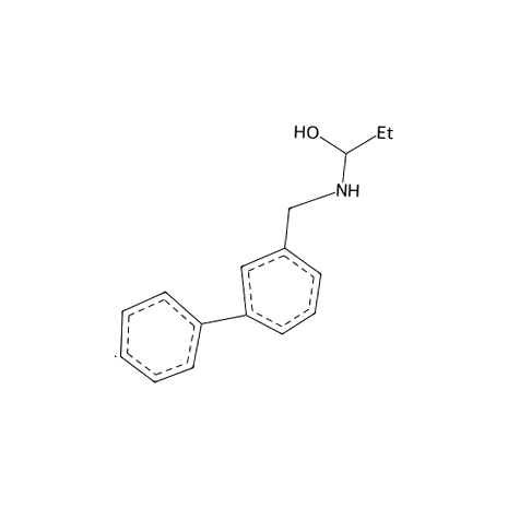 CCC(O)NCc1cccc(-c2cc[c]cc2)c1